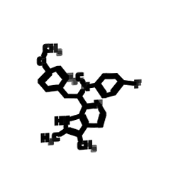 COc1ccc(CC(c2nccc3c(C)c(C)[nH]c23)N(C)c2ccc(F)cc2)cc1